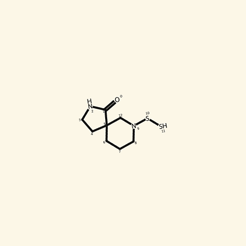 O=C1NCCC12CCCN(SS)C2